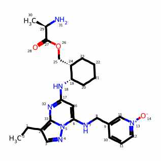 CCc1cnn2c(NCc3ccc[n+]([O-])c3)cc(N[C@H]3CCCC[C@H]3COC(=O)[C@@H](C)N)nc12